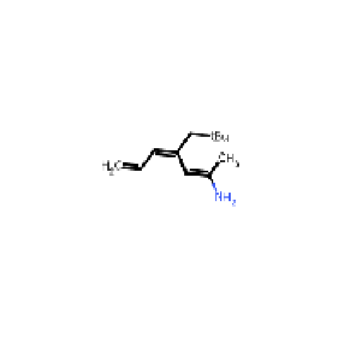 C=C/C=C(\C=C(/C)N)CC(C)(C)C